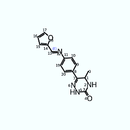 CC1NC(=O)NN=C1c1ccc(/N=C/c2ccco2)cc1